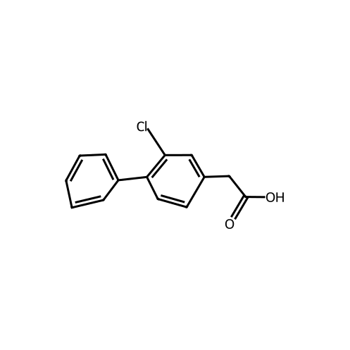 O=C(O)Cc1ccc(-c2ccccc2)c(Cl)c1